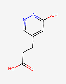 O=C(O)CCc1cnnc(O)c1